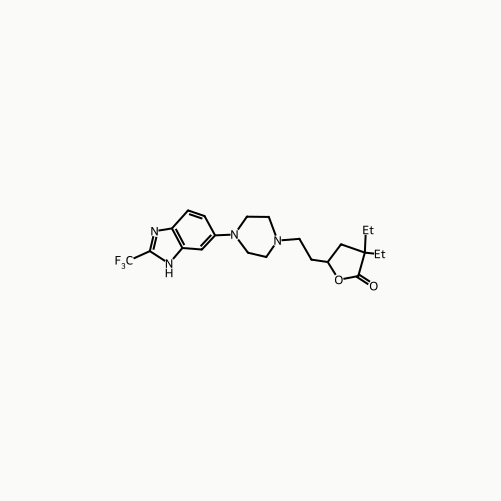 CCC1(CC)CC(CCN2CCN(c3ccc4nc(C(F)(F)F)[nH]c4c3)CC2)OC1=O